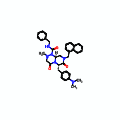 CN(C)c1ccc(C[C@H]2C(=O)N(Cc3cccc4ccccc34)C[C@H]3N2C(=O)CN(C)N3C(=O)NCc2ccccc2)cc1